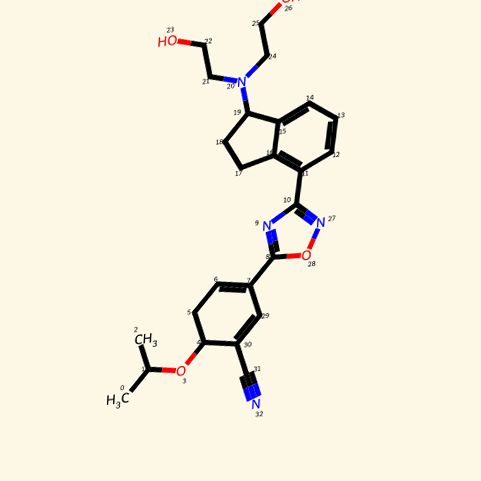 CC(C)OC1CC=C(c2nc(-c3cccc4c3CCC4N(CCO)CCO)no2)C=C1C#N